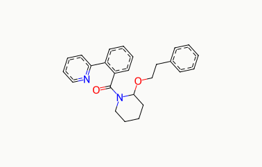 O=C(c1ccccc1-c1ccccn1)N1CCCCC1OCCc1ccccc1